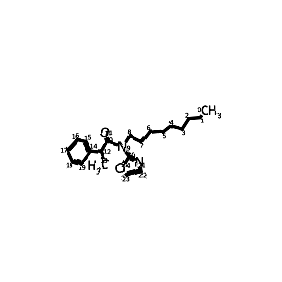 CCCCCCCCCN(C(=O)C(C)c1ccccc1)c1ncco1